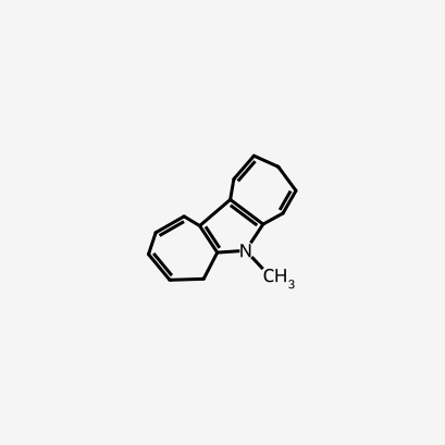 Cn1c2c(c3c1CC=CC=C3)C=CCC=C2